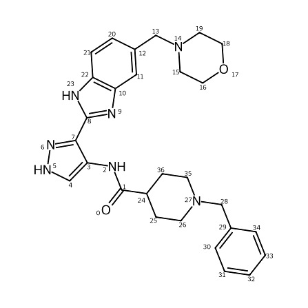 O=C(Nc1c[nH]nc1-c1nc2cc(CN3CCOCC3)ccc2[nH]1)C1CCN(Cc2ccccc2)CC1